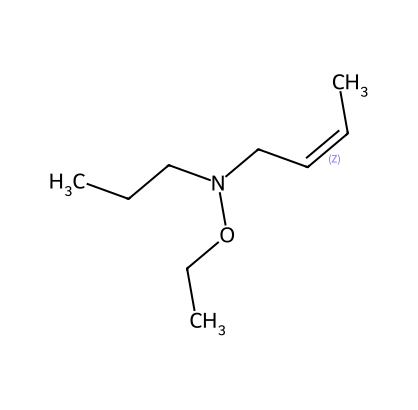 C/C=C\CN(CCC)OCC